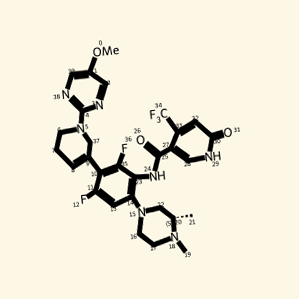 COc1cnc(N2CCC=C(c3c(F)cc(N4CCN(C)[C@@H](C)C4)c(NC(=O)c4c[nH]c(=O)cc4C(F)(F)F)c3F)C2)nc1